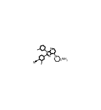 Cc1cccc(-n2c(-c3ccc(C#N)c(F)c3)nc3c(N4CCC[C@@H](N)C4)ccnc32)c1